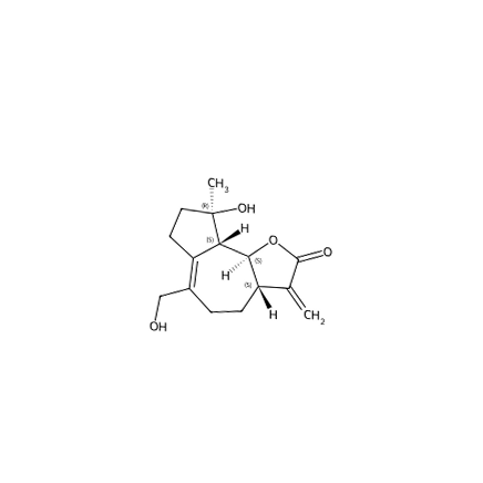 C=C1C(=O)O[C@H]2[C@H]1CCC(CO)=C1CC[C@@](C)(O)[C@@H]12